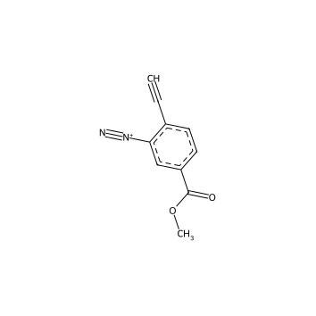 C#Cc1ccc(C(=O)OC)cc1[N+]#N